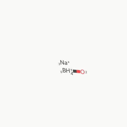 [BH4-].[C]=O.[Na+]